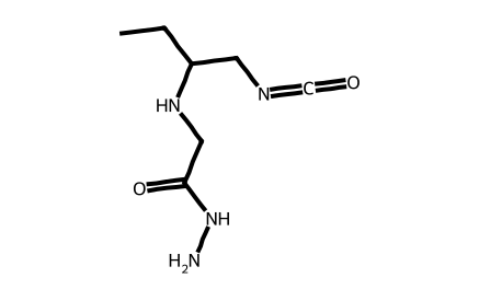 CCC(CN=C=O)NCC(=O)NN